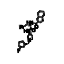 CC(C)C[C@H](NC(=O)c1ccc2ccccc2c1)C(=O)N[C@H]1CCN(Cc2cccc(F)c2)C1